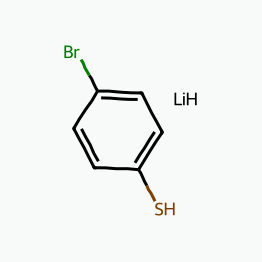 Sc1ccc(Br)cc1.[LiH]